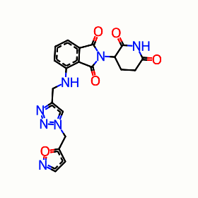 O=C1CCC(N2C(=O)c3cccc(NCc4cn(Cc5ccno5)nn4)c3C2=O)C(=O)N1